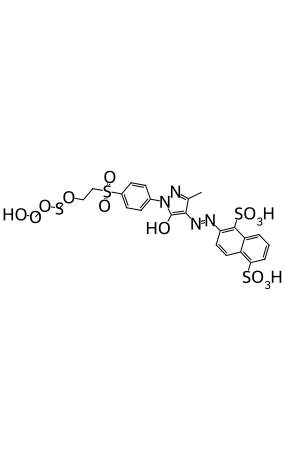 Cc1nn(-c2ccc(S(=O)(=O)CCOSOOO)cc2)c(O)c1/N=N/c1ccc2c(S(=O)(=O)O)cccc2c1S(=O)(=O)O